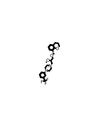 COC(COSc1cccc2c1OCCC2)CN1CCN(c2cccc(C(F)(F)F)c2)CC1